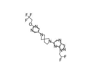 FC(F)Cn1ncc2ncc(N3CCC4(CN(c5cnc(OCC(F)(F)F)nc5)C4)C3)nc21